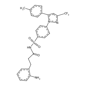 Cc1ccc(-c2cc(C(F)(F)F)nn2-c2ccc(S(=O)(=O)NC(=O)CCc3ccccc3N)cc2)cc1